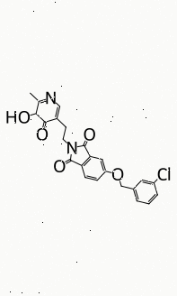 CC1=NC=C(CCN2C(=O)c3ccc(OCc4cccc(Cl)c4)cc3C2=O)C(=O)C1O